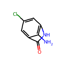 Nc1c2cc(Cl)cc1C(=O)N2